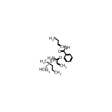 C=CC(N)=O.C=CCN.CCC[N+](C)(C)C.Cl.O=C(O)c1ccccc1